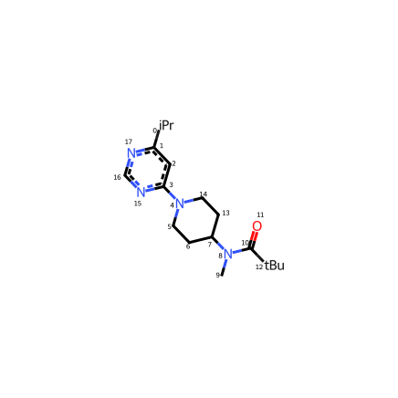 CC(C)c1cc(N2CCC(N(C)C(=O)C(C)(C)C)CC2)ncn1